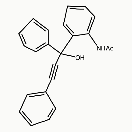 CC(=O)Nc1ccccc1C(O)(C#Cc1ccccc1)c1ccccc1